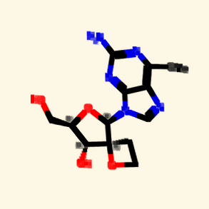 COc1nc(N)nc2c1ncn2[C@@H]1O[C@H](CO)[C@@H](O)[C@@]12CCO2